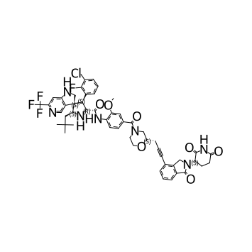 COc1cc(C(=O)N2CCO[C@@H](CC#Cc3cccc4c3CN([C@H]3CCC(=O)NC3=O)C4=O)C2)ccc1NC(=O)[C@@H]1N[C@@H](CC(C)(C)C)[C@@]2(CNc3cc(C(F)(F)F)ncc32)[C@H]1c1cccc(Cl)c1F